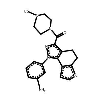 CCN1CCN(C(=O)c2nn(-c3cccc(N)c3)c3c2CCc2sccc2-3)CC1